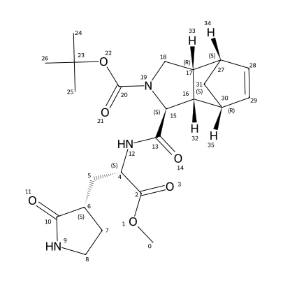 COC(=O)[C@H](C[C@@H]1CCNC1=O)NC(=O)[C@@H]1[C@@H]2[C@H](CN1C(=O)OC(C)(C)C)[C@@H]1C=C[C@H]2C1